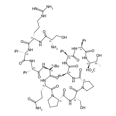 CC[C@H](C)[C@H](NC(=O)[C@@H](NC(=O)[C@@H](NC(=O)[C@H](CCCNC(=N)N)NC(=O)[C@@H](N)CO)C(C)C)C(C)C)C(=O)N[C@@H](CCC(N)=O)C(=O)N1CCC[C@H]1C(=O)N[C@@H](CO)C(=O)N1CCC[C@H]1C(=O)N[C@H](C(=O)N[C@H](C(=O)N[C@H](C(=O)N[C@H](C(=O)O)[C@@H](C)O)C(C)C)C(C)C)C(C)C